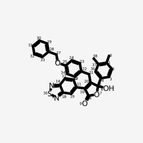 Cc1ccc(C2(O)OC(=O)C(c3ccc4nsnc4c3)=C2Cc2ccc(OCc3ccccc3)cc2)cc1C